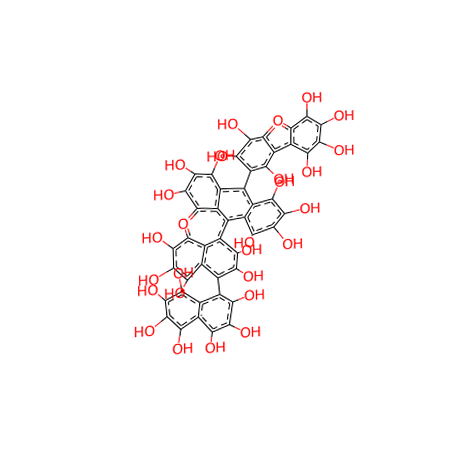 Oc1c(O)c(O)c2c(oc3c(O)c(O)c(-c4c5c(O)c(O)c(O)c(O)c5c5c6c(O)c(O)c(-c7c(O)c(O)c(O)c8c(O)c(O)c(O)c(O)c78)c7c(O)c(O)c(O)c(oc8c(O)c(O)c(O)c4c85)c76)c(O)c32)c1O